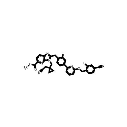 COC(=O)c1ccc2nc(Cc3ccc(-c4cccc(OCc5ccc(C#N)cc5F)n4)cc3F)n(CC3(CC#N)CC3)c2n1